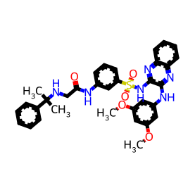 COc1cc(Nc2nc3ccccc3nc2NS(=O)(=O)c2cccc(NC(=O)CNC(C)(C)c3ccccc3)c2)cc(OC)c1